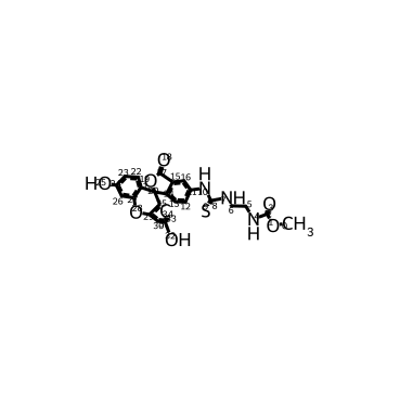 COC(=O)NCCNC(=S)Nc1ccc2c(c1)C(=O)OC21c2ccc(O)cc2Oc2cc(O)ccc21